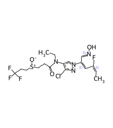 C\C=C(F)/C=C(\C=N\O)n1cc(N(CC)C(=O)CC[S+]([O-])CCC(F)(F)F)c(Cl)n1